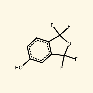 Oc1ccc2c(c1)C(F)(F)OC2(F)F